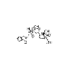 CN1C(=O)N(CC(C)(C)C)C2=CCC(C3CCC(C)(C)C(NC(=O)CCN4Cc5ccccc5C4=O)C3)N1C2